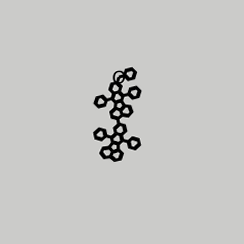 c1ccc(Oc2ccc3c(-c4ccccc4)c4c(c(-c5ccccc5)c3c2)-c2cccc3c(-c5ccc6c(-c7ccccc7)c7c(c(-c8ccccc8)c6c5)-c5cccc6cccc-7c56)ccc-4c23)cc1